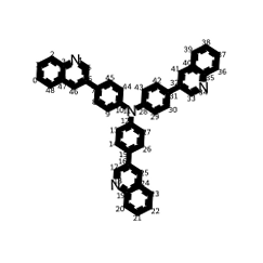 c1ccc2ncc(-c3ccc(N(c4ccc(-c5cnc6ccccc6c5)cc4)c4ccc(-c5cnc6ccccc6c5)cc4)cc3)cc2c1